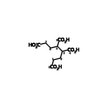 O=C(O)CCC(C(=O)O)C(CCC(=O)O)C(=O)O